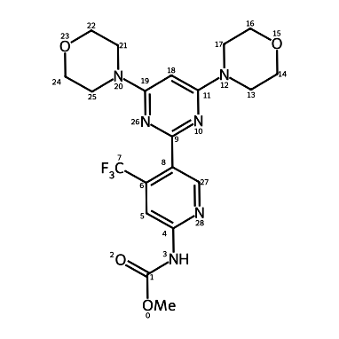 COC(=O)Nc1cc(C(F)(F)F)c(-c2nc(N3CCOCC3)cc(N3CCOCC3)n2)cn1